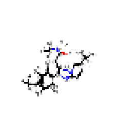 [2H]c1c([2H])c(C([2H])([2H])[2H])c([2H])c([2H])c1-c1nc2ccc(C([2H])([2H])[2H])cn2c1CC(=O)N(C)C([2H])([2H])[2H]